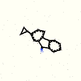 N=C1c2ccccc2-c2ccc(C3CC3)cc21